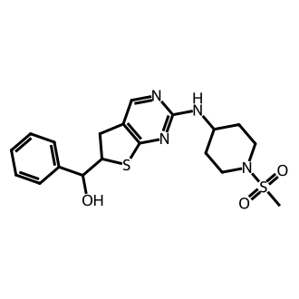 CS(=O)(=O)N1CCC(Nc2ncc3c(n2)SC(C(O)c2ccccc2)C3)CC1